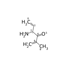 C=C[C](N)C(=O)C(=C)C